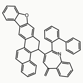 C=C1C=C(C2Cc3cc4oc5ccccc5c4cc3-c3ccc4ccccc4c32)C(c2ccccc2-c2ccccc2)=Nc2ccccc21